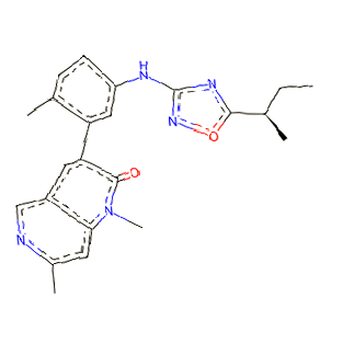 CC[C@@H](C)c1nc(Nc2ccc(C)c(-c3cc4cnc(C)cc4n(C)c3=O)c2)no1